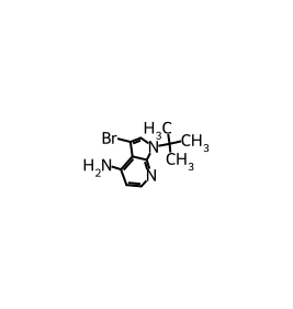 CC(C)(C)n1cc(Br)c2c(N)ccnc21